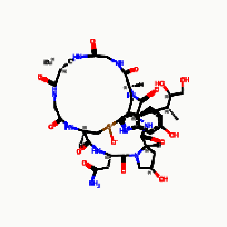 CC[C@H](C)[C@@H]1CNC(=O)CNC(=O)[C@@H]2Cc3c([nH]c4cc(O)ccc34)[S+]([O-])C[C@H](NC(=O)CNC1=O)C(=O)N[C@@H](CC(N)=O)C(=O)N1C[C@H](O)C[C@H]1C(=O)N[C@@H]([C@@H](C)[C@@H](O)CO)C(=O)N2